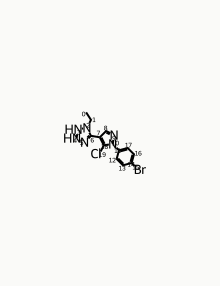 CCN1NNN=C1c1cnn(-c2ccc(Br)cc2)c1Cl